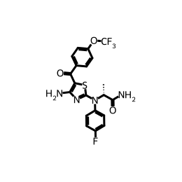 C[C@H](C(N)=O)N(c1ccc(F)cc1)c1nc(N)c(C(=O)c2ccc(OC(F)(F)F)cc2)s1